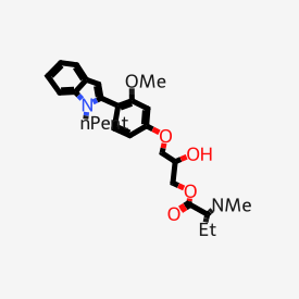 CCCCCn1c(-c2ccc(OCC(O)COC(=O)C(CC)NC)cc2OC)cc2ccccc21